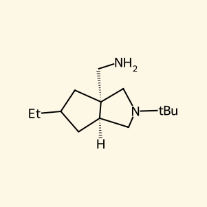 CCC1C[C@@H]2CN(C(C)(C)C)C[C@]2(CN)C1